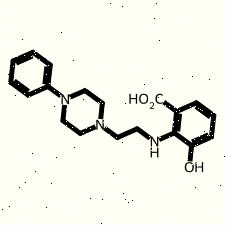 O=C(O)c1cccc(O)c1NCCN1CCN(c2ccccc2)CC1